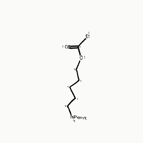 [CH2]CC(=O)OCCCCCCCCCC